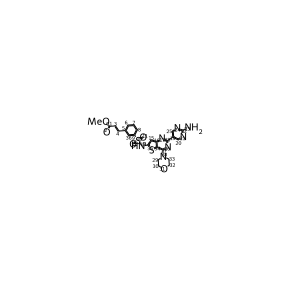 COC(=O)/C=C/c1cccc(S(=O)(=O)Nc2cc3nc(-c4cnc(N)nc4)nc(N4CCOCC4)c3s2)c1